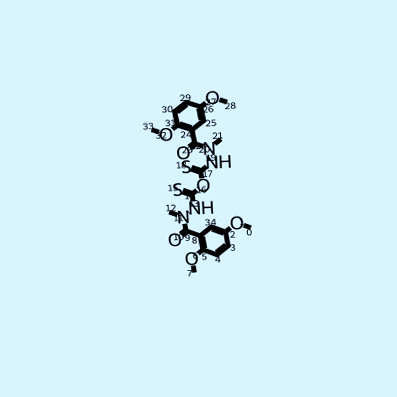 COc1ccc(OC)c(C(=O)N(C)NC(=S)OC(=S)NN(C)C(=O)c2cc(OC)ccc2OC)c1